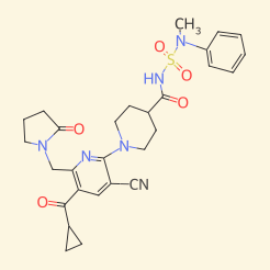 CN(c1ccccc1)S(=O)(=O)NC(=O)C1CCN(c2nc(CN3CCCC3=O)c(C(=O)C3CC3)cc2C#N)CC1